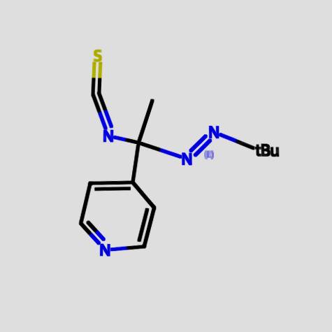 CC(C)(C)/N=N/C(C)(N=C=S)c1ccncc1